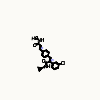 O=C(/C=C/c1ccc(/C=C(\C(=O)NC2CC2)c2cccc(Cl)c2)cc1)NO